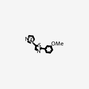 COc1cccc(-c2ncc(N3CCN4CCC3CC4)s2)c1